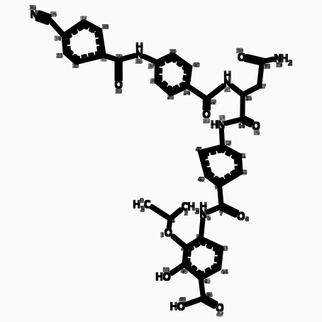 CC(C)Oc1c(NC(=O)c2ccc(NC(=O)C(CC(N)=O)NC(=O)c3ccc(NC(=O)c4ccc(C#N)cc4)cc3)cc2)ccc(C(=O)O)c1O